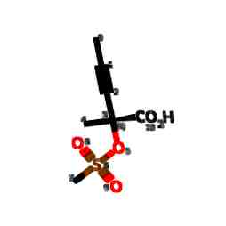 CC#C[C@@](C)(OS(C)(=O)=O)C(=O)O